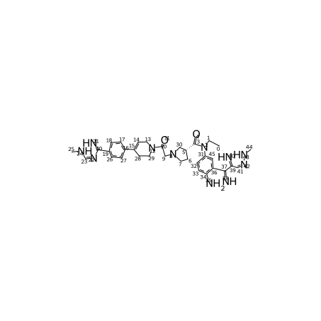 CCN(C(=O)[C@@H]1CCN(CC(=O)N2CC=C(c3ccc(C(=N)/N=C\NC)cc3)CC2)C1)c1ccc(N)c(C(=N)C(=N)/C=N\NC)c1